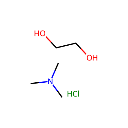 CN(C)C.Cl.OCCO